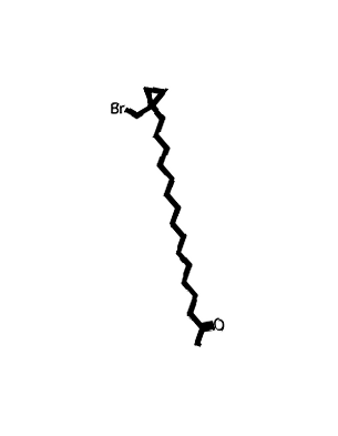 CC(=O)CCCCCCCCCCCCCCC1(CBr)CC1